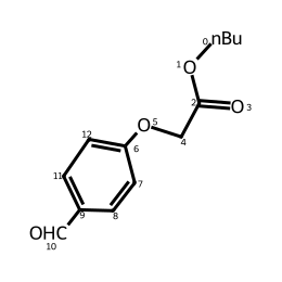 CCCCOC(=O)COc1ccc(C=O)cc1